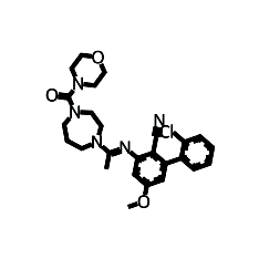 COc1cc(N=C(C)N2CCCN(C(=O)N3CCOCC3)CC2)c(C#N)c(-c2ccccc2Cl)c1